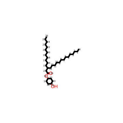 CCCCCCCCCCCCCCC(CCCCCCCCCCCC)CC(=O)OC1CCC(O)CC1